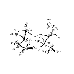 O=S(=O)([O-])C(F)(F)C(F)(F)C(F)(F)C(F)(F)F.O=S(=O)([O-])C(F)(F)C(F)(F)C(F)(F)C(F)(F)F.[K+].[Na+]